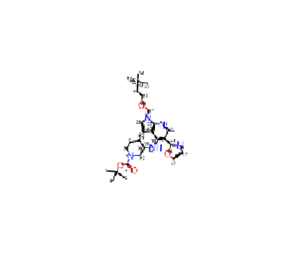 CC(C)(C)OC(=O)N1CCC[C@@H](Nc2c(-c3ncco3)cnc3c2ccn3COCC[Si](C)(C)C)C1